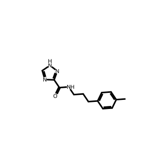 Cc1ccc(CCCNC(=O)c2nc[nH]n2)cc1